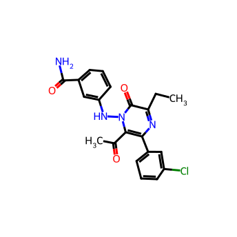 CCc1nc(-c2cccc(Cl)c2)c(C(C)=O)n(Nc2cccc(C(N)=O)c2)c1=O